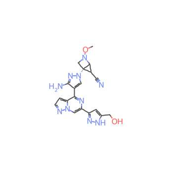 CON1C[C@]2(n3cc(-c4nc(-c5cc(CO)[nH]n5)cn5nccc45)c(N)n3)C(C#N)C12